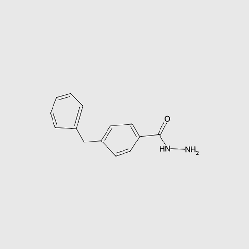 NNC(=O)c1ccc(Cc2ccccc2)cc1